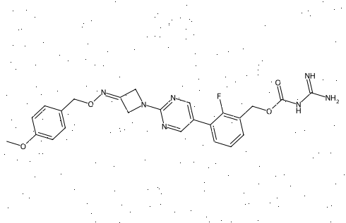 COc1ccc(CON=C2CN(c3ncc(-c4cccc(COC(=O)NC(=N)N)c4F)cn3)C2)cc1